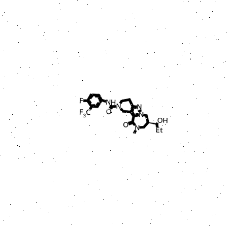 CCC(O)[C@H]1CN(C)C(=O)c2c3c(nn2C1)CCN(C(=O)Nc1ccc(F)c(C(F)(F)F)c1)C3